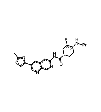 Cc1ncc(-c2cnc3cnc(NC(=O)N4CC[C@H](NC(C)C)[C@@H](F)C4)cc3c2)o1